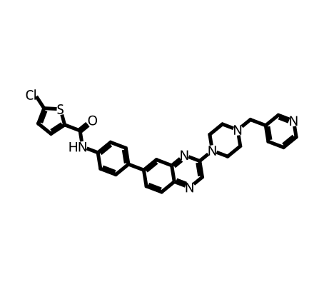 O=C(Nc1ccc(-c2ccc3ncc(N4CCN(Cc5cccnc5)CC4)nc3c2)cc1)c1ccc(Cl)s1